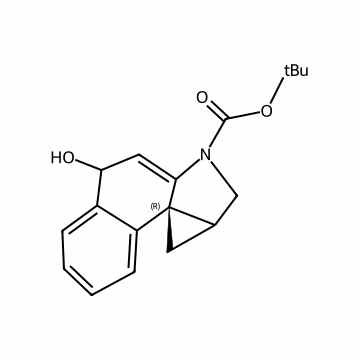 CC(C)(C)OC(=O)N1CC2C[C@@]23C1=CC(O)c1ccccc13